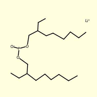 CCCCCCC(CC)COP([O-])OCC(CC)CCCCCC.[Li+]